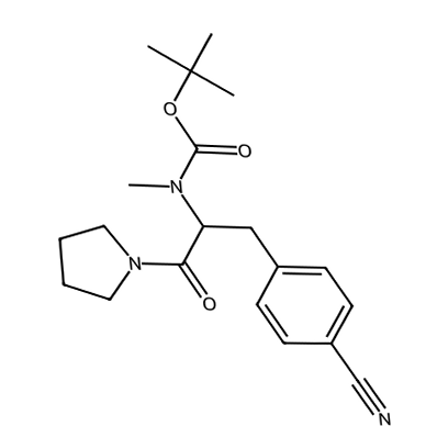 CN(C(=O)OC(C)(C)C)C(Cc1ccc(C#N)cc1)C(=O)N1CCCC1